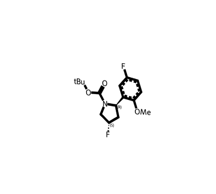 COc1ccc(F)cc1[C@H]1C[C@H](F)CN1C(=O)OC(C)(C)C